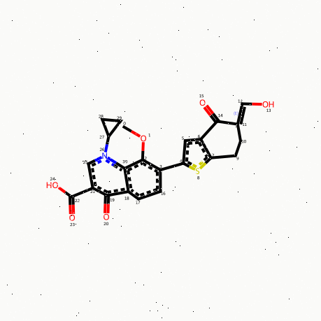 COc1c(-c2cc3c(s2)CC/C(=C\O)C3=O)ccc2c(=O)c(C(=O)O)cn(C3CC3)c12